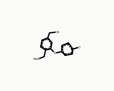 CNCc1ccc(CC#N)cc1Oc1ccc(Cl)cc1